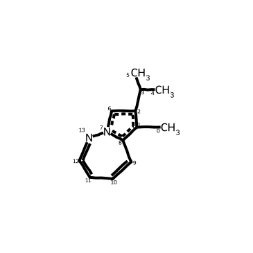 Cc1c(C(C)C)cn2c1C=CC=C=N2